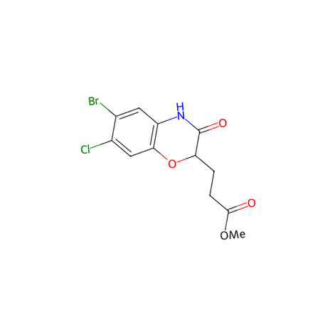 COC(=O)CCC1Oc2cc(Cl)c(Br)cc2NC1=O